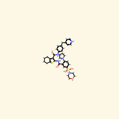 O=C(Nc1sc2c(c1C(=O)Nc1ccc(Cc3ccncc3)cc1)CCCC2)c1cc(S(=O)(=O)N2CCOCC2)ccc1N1CCCC1